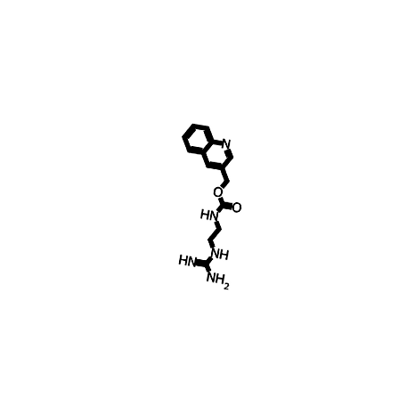 N=C(N)NCCNC(=O)OCc1cnc2ccccc2c1